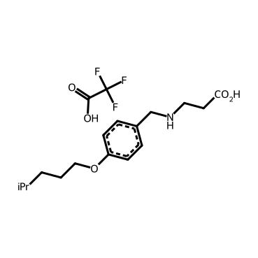 CC(C)CCCOc1ccc(CNCCC(=O)O)cc1.O=C(O)C(F)(F)F